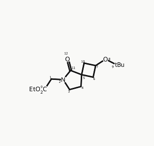 CCOC(=O)CN1CCC2(CC(OC(C)(C)C)C2)C1=O